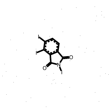 O=C1c2ccc(I)c(I)c2C(=O)N1I